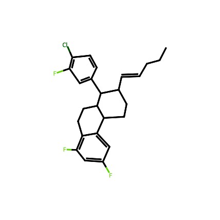 CCCC=CC1CCC2c3cc(F)cc(F)c3CCC2C1c1ccc(Cl)c(F)c1